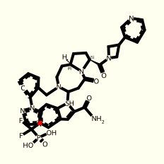 NC(=O)C1=Cc2cc(C(F)(F)P(=O)(O)O)ccc2[SH]1C1CC(=O)N2[C@H](CC[C@H]2C(=O)N2CC(c3cccnc3)C2)CCN1Cc1ccccc1-n1cncn1